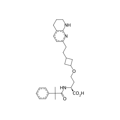 CC(C)(C(=O)N[C@@H](CCOC1CC(CCc2ccc3c(n2)NCCC3)C1)C(=O)O)c1ccccc1